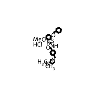 COc1ccc(OCc2ccccc2)c2sc(NC(=O)c3ccc(CN4CCC(N(C)C)C4)cc3)nc12.Cl